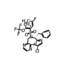 C/C(OC(F)(F)F)=C(\C=C(/C)F)S(=O)(=O)N1Cc2nccnc2-n2c(Cl)cnc2[C@H]1Cc1ccccc1